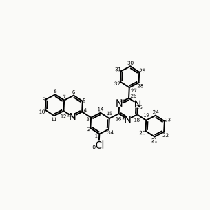 Clc1cc(-c2ccc3ccccc3n2)cc(-c2nc(-c3ccccc3)nc(-c3ccccc3)n2)c1